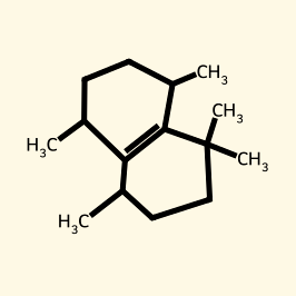 CC1CCC(C)C2=C1C(C)CCC2(C)C